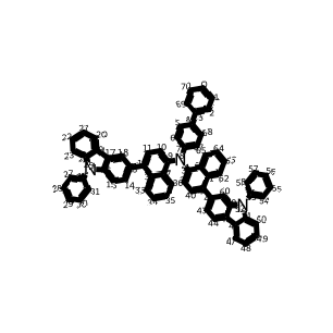 c1ccc(-c2ccc(N(c3ccc(-c4ccc5c(c4)c4ccccc4n5-c4ccccc4)c4ccccc34)c3ccc(-c4ccc5c6ccccc6n(-c6ccccc6)c5c4)c4ccccc34)cc2)cc1